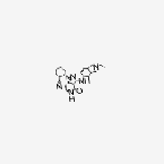 CCN1Cc2ccc(Nc3nn([C@H]4CCCCC4C#N)c4cc[nH]c(=O)c34)cc2C1